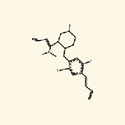 C=C/C=C(/C1CC(C)CCC1Cc1cc(F)c(/C=C/C=C)cc1Cl)N(C)C